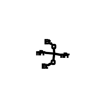 CCCC(CCC)(OCC)OCC